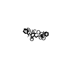 CCCCC1N([C@H](C)c2ccccc2)C(=O)C(CCOS(=O)(=O)c2ccccc2)[C@]1(C)C(=O)O